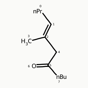 CCC/C=C(\C)CC(=O)CCCC